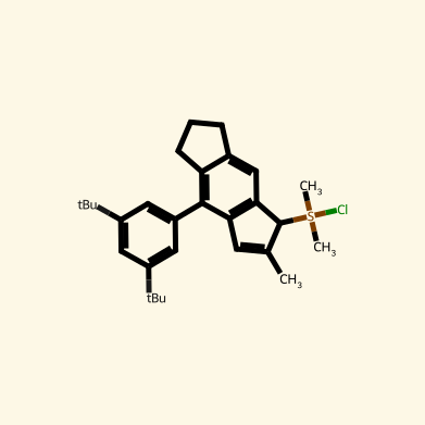 CC1=Cc2c(cc3c(c2-c2cc(C(C)(C)C)cc(C(C)(C)C)c2)CCC3)C1S(C)(C)Cl